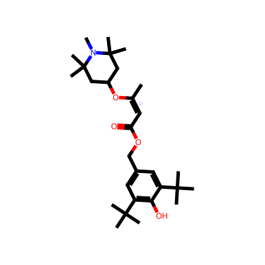 C/C(=C/C(=O)OCc1cc(C(C)(C)C)c(O)c(C(C)(C)C)c1)OC1CC(C)(C)N(C)C(C)(C)C1